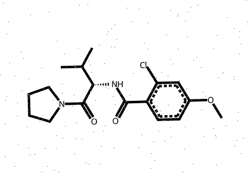 COc1ccc(C(=O)N[C@H](C(=O)N2CCCC2)C(C)C)c(Cl)c1